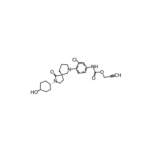 C#CCOC(=O)Nc1ccc(N2CCC[C@]3(CCN([C@H]4CC[C@H](O)CC4)C3=O)C2)c(Cl)c1